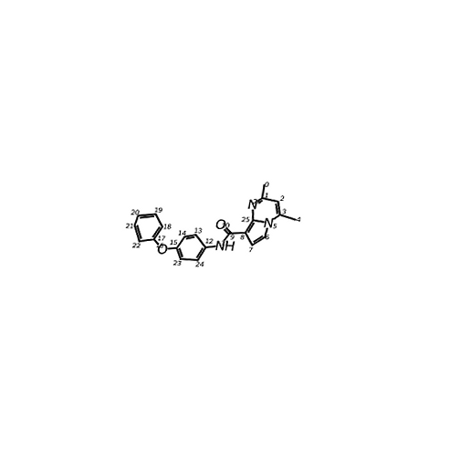 Cc1cc(C)n2ccc(C(=O)Nc3ccc(Oc4ccccc4)cc3)c2n1